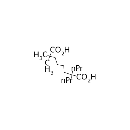 CCCC(CCC)(CCCCC(C)(C)C(=O)O)C(=O)O